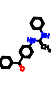 C=C(Nc1ccccc1)Nc1ccc(C(=O)c2ccccc2)cc1